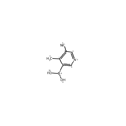 Cc1c(C#N)cncc1B(O)O